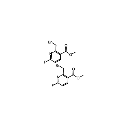 COC(=O)c1ccc(F)nc1CBr.COC(=O)c1ccc(F)nc1CBr